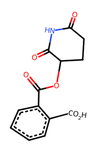 O=C1CCC(OC(=O)c2ccccc2C(=O)O)C(=O)N1